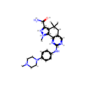 CN1CCN(c2ccc(Nc3ncc4c(n3)-c3c(c(C(N)=O)nn3C)C(C)(C)C4)cc2)CC1